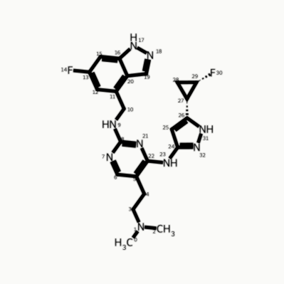 CN(C)CCc1cnc(NCc2cc(F)cc3[nH]ncc23)nc1Nc1cc([C@@H]2C[C@@H]2F)[nH]n1